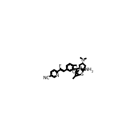 CC1C2[C@@]1(C(=O)N1CC[C@@H](N(C)C)C1)SC(N)=N[C@@]21Cc2ccc(/C=C(\F)c3ccc(C#N)cn3)cc21